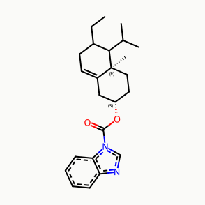 CCC1CC=C2C[C@@H](OC(=O)n3cnc4ccccc43)CC[C@]2(C)C1C(C)C